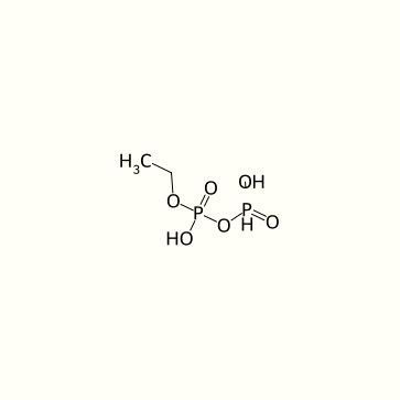 CCOP(=O)(O)O[PH](=O)O